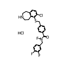 Cl.O=C(c1ccc(CSc2c(Cl)ccc3c2CCNCC3)cc1)N(F)Cc1ccc(F)c(F)c1